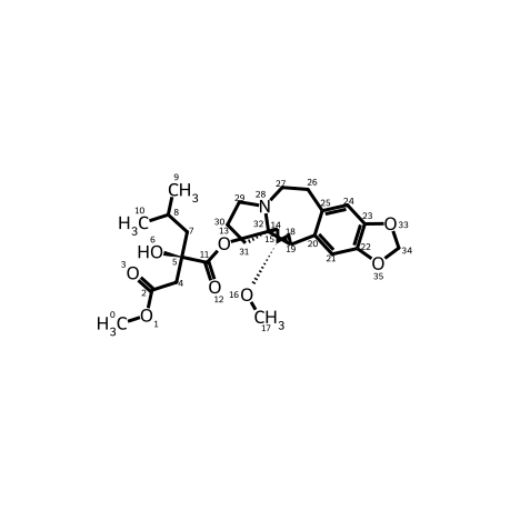 COC(=O)C[C@](O)(CC(C)C)C(=O)OC1[C@@H](OC)C=C2c3cc4c(cc3CCN3CCC[C@@]213)OCO4